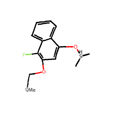 COCOc1cc(O[SiH](C)C)c2ccccc2c1F